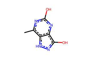 Cc1nc(O)nc2c(O)n[nH]c12